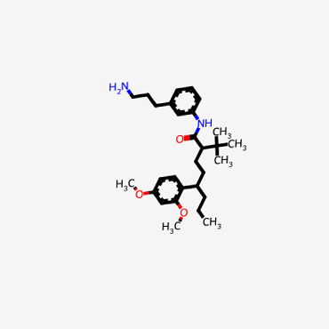 CCCC(CCC(C(=O)Nc1cccc(CCCN)c1)C(C)(C)C)c1ccc(OC)cc1OC